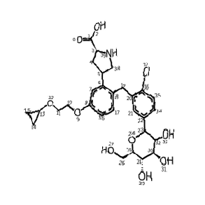 O=C(O)[C@@H]1CC(c2cc(OCCOC3CC3)ccc2Cc2cc(C3O[C@H](CO)[C@@H](O)[C@H](O)C3O)ccc2Cl)CN1